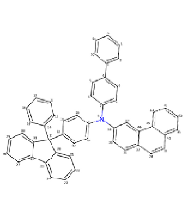 c1ccc(-c2ccc(N(c3ccc(C4(c5ccccc5)c5ccccc5-c5ccccc54)cc3)c3ccc4ccc5ccccc5c4c3)cc2)cc1